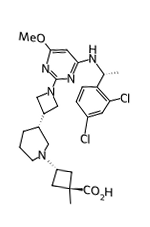 COc1cc(N[C@H](C)c2ccc(Cl)cc2Cl)nc(N2CC([C@H]3CCCN([C@H]4C[C@](C)(C(=O)O)C4)C3)C2)n1